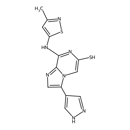 Cc1cc(Nc2nc(S)cn3c(-c4cn[nH]c4)cnc23)sn1